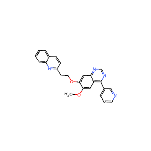 COc1cc2c(-c3cccnc3)ncnc2cc1OCCc1ccc2ccccc2n1